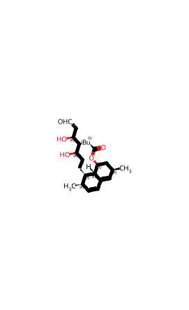 CC[C@H](C)C(=O)O[C@H]1C[C@@H](C)C=C2C=C[C@H](C)[C@H](CC[C@@H](O)C[C@@H](O)CC=O)[C@H]21